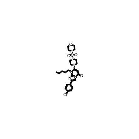 CCCCCn1c(N2CCN(S(=O)(=O)N3CCOCC3)CC2)cc(=O)n2cc(-c3ccc(Cl)cc3)nc12